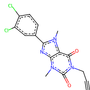 C#CCn1c(=O)c2c(nc(-c3ccc(Cl)c(Cl)c3)n2C)n(C)c1=O